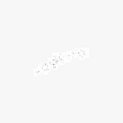 N#Cc1cnc(N2C[C@@H]3C[C@H]2CN3C(=O)NC2CC3(C2)CN(Cc2ccccc2)C3)nc1